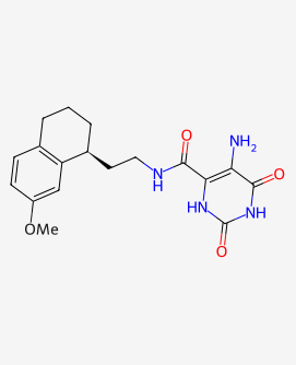 COc1ccc2c(c1)[C@H](CCNC(=O)c1[nH]c(=O)[nH]c(=O)c1N)CCC2